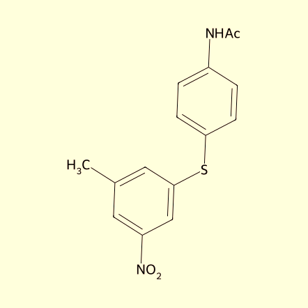 CC(=O)Nc1ccc(Sc2cc(C)cc([N+](=O)[O-])c2)cc1